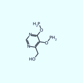 OCc1ncnc(OP)c1OP